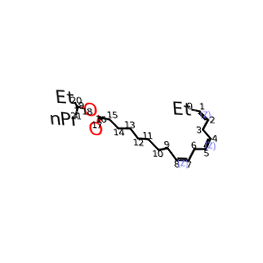 CC/C=C\C/C=C\C/C=C\CCCCCCCC(=O)OC(CC)CCC